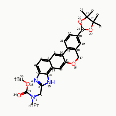 CCCN(Cc1nc2ccc3cc4c(cc3c2[nH]1)OCc1cc(B2OC(C)(C)C(C)(C)O2)ccc1-4)C(=O)OC(C)(C)C